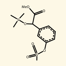 COC(=O)C(O[Si](C)(C)C)c1cccc(OS(C)(=O)=O)c1